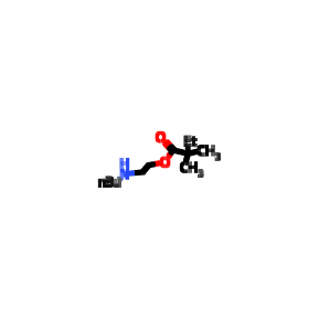 CCCCNCCOC(=O)C(C)(C)CC